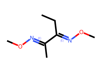 CCC(=N\OC)/C(C)=N/OC